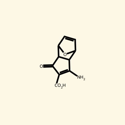 NC1=C(C(=O)O)C(=O)C2C3C=CC(O3)C12